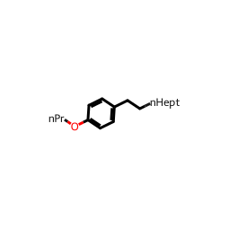 C[CH]COc1ccc(CCCCCCCCC)cc1